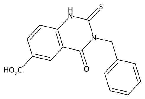 O=C(O)c1ccc2[nH]c(=S)n(Cc3ccccc3)c(=O)c2c1